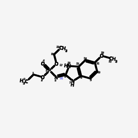 CCOP(=O)(/N=c1/[nH]c2ccc(OC)cc2[nH]1)OCC